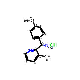 COc1ccc(C(N)c2ncccc2C(F)(F)F)cc1.Cl